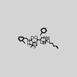 C=CCCCOC(=O)N[C@@H](Cc1ccccc1)[C@H](O)C(=O)N1CSC(C)(C)[C@H]1C(=O)NCc1ccccc1C